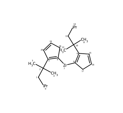 CC(C)CC(C)(C)C1=[C]([Zr][C]2=C(C(C)(C)CC(C)C)C=CC2)CC=C1